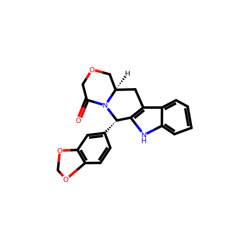 O=C1COC[C@H]2Cc3c([nH]c4ccccc34)[C@H](c3ccc4c(c3)OCO4)N12